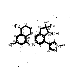 Cn1cc(-c2ccc([C@H]3CC[C@H](F)c4cc(F)cc(C#N)c43)c3c2[C@H](O)C(F)(F)C3)cn1